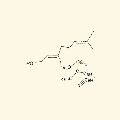 CC(=O)[O][GeH3].CC(C)=CCC/C(C)=C/CO.O=C[O][GeH3].[N]#[GeH]